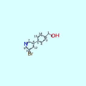 OCc1ccc(-c2cncc(Br)c2)cc1